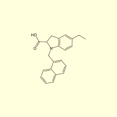 CCc1ccc2c(c1)CC(C(=O)O)N2Cc1cccc2ccccc12